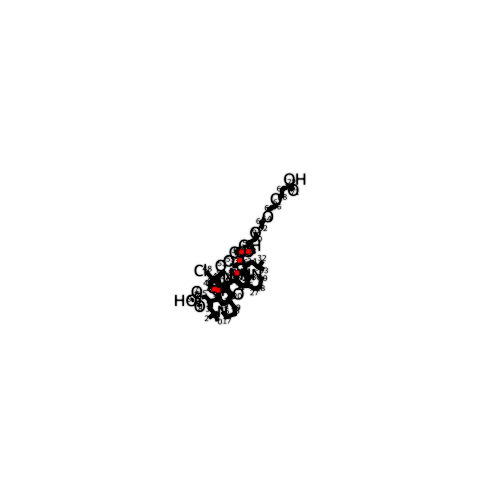 CC1(C)C=C(CS(=O)(=O)O)c2cc3c(c4c2N1CCC4)Oc1c(cc2c4c1CCCN4C(C)(C)CC2CS(=O)(=O)O)C31c2c(Cl)ccc(Cl)c2C(=O)N1NC(=O)CCOCCOCCOCCOCCC(=O)O